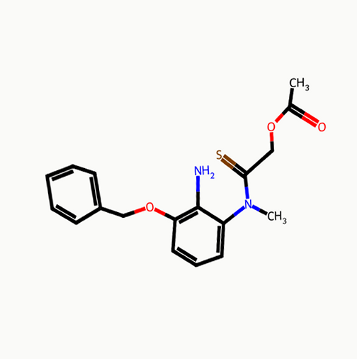 CC(=O)OCC(=S)N(C)c1cccc(OCc2ccccc2)c1N